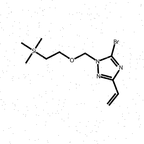 C=Cc1nc(Br)n(COCC[Si](C)(C)C)n1